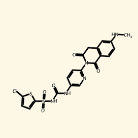 CNc1ccc2c(c1)CC(=O)N(c1ccc(NC(=O)NS(=O)(=O)c3ccc(Cl)s3)cn1)C2=O